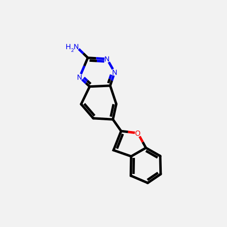 Nc1nnc2cc(-c3cc4ccccc4o3)ccc2n1